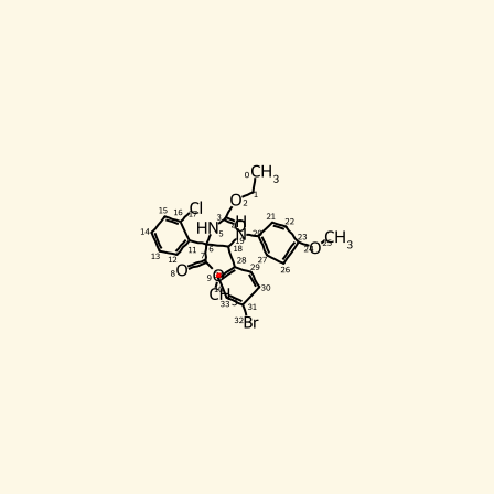 CCOC(=O)NC(C(=O)OC)(c1ccccc1Cl)C(Nc1ccc(OC)cc1)c1ccc(Br)cc1